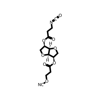 N#COCCC(=O)O[C@@H]1CO[C@H]2[C@@H]1OC[C@H]2OC(=O)CCN=C=O